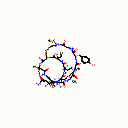 CC(=O)N[C@H]1CSSC[C@@H]2NC(=O)C3NC(=O)[C@H](CC(C)C)NC(=O)[C@H](CCC(=O)O)NC(=O)[C@H](CCSC[C@H](NC(=O)[C@H](C)NC(=O)[C@H](C(C)C)NC(=O)[C@H](CC(N)=O)NC2=O)C(=O)N[C@@H](Cc2ccc(O)cc2)C(=O)NCC(=O)N[C@H](C(=O)O)CSS3)NC1=O